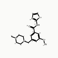 CC(C)Oc1cc(CN2CCN(C)CC2)cc(C(=O)Nc2nccs2)c1